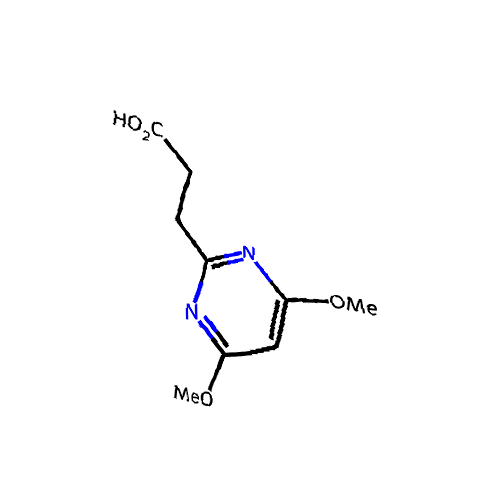 COc1cc(OC)nc(CCC(=O)O)n1